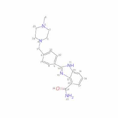 CN1CCN(Cc2ccc(-c3nc4c(C(N)=O)cccc4[nH]3)cc2)CC1